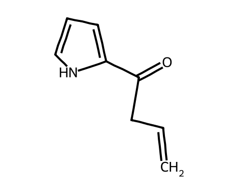 C=CCC(=O)c1ccc[nH]1